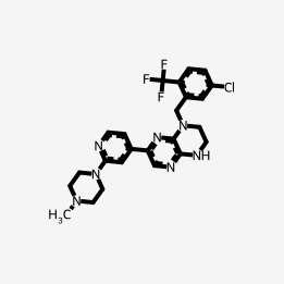 CN1CCN(c2cc(-c3cnc4c(n3)N(Cc3cc(Cl)ccc3C(F)(F)F)CCN4)ccn2)CC1